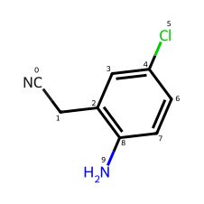 N#CCc1cc(Cl)ccc1N